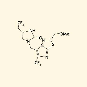 COCc1nn2c(CN3CC(CC(F)(F)F)NC3=O)c(C(F)(F)F)nc2s1